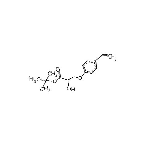 C=Cc1ccc(OC[C@@H](O)C(=O)OC(C)(C)C)cc1